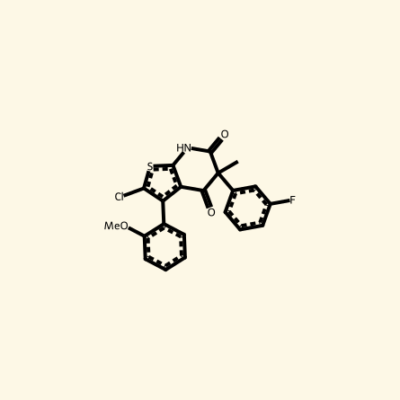 COc1ccccc1-c1c(Cl)sc2c1C(=O)C(C)(c1cccc(F)c1)C(=O)N2